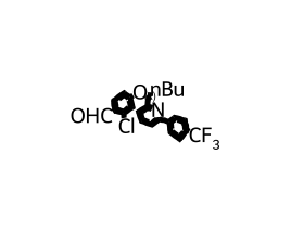 CCCC[C@@H](Oc1ccc(C=O)c(Cl)c1)c1cccc(-c2ccc(C(F)(F)F)cc2)n1